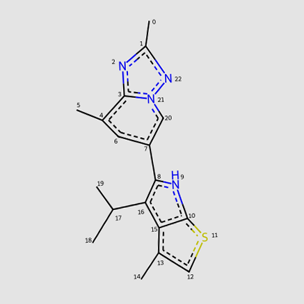 Cc1nc2c(C)cc(-c3[nH]c4scc(C)c4c3C(C)C)cn2n1